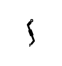 O=CC#CCF